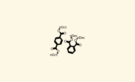 CCCCCCCCCCOC(=O)c1ccccc1C(=O)OCCCCCCCCCC.CCCCCCCCOC(=O)c1ccc(C(=O)OCCCCCCCC)cc1